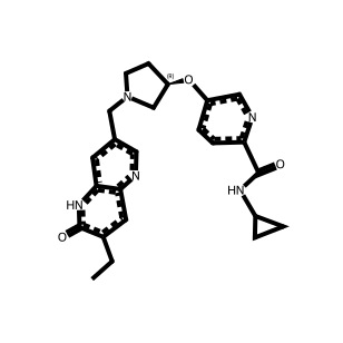 CCc1cc2ncc(CN3CC[C@@H](Oc4ccc(C(=O)NC5CC5)nc4)C3)cc2[nH]c1=O